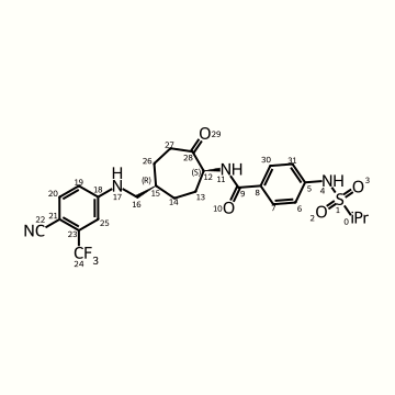 CC(C)S(=O)(=O)Nc1ccc(C(=O)N[C@H]2CC[C@@H](CNc3ccc(C#N)c(C(F)(F)F)c3)CCC2=O)cc1